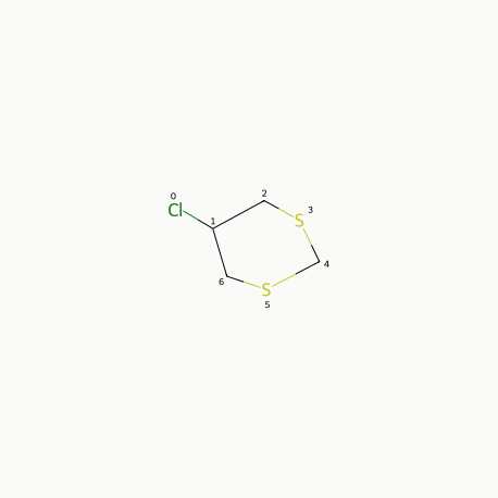 ClC1CSCSC1